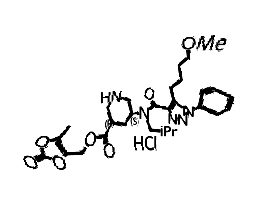 COCCCCc1c(C(=O)N(CC(C)C)[C@@H]2CNC[C@H](C(=O)OCc3oc(=O)oc3C)C2)nnn1-c1ccccc1.Cl